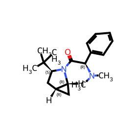 CN(C)[C@@H](C(=O)N1[C@@H]2C[C@@H]2C[C@H]1C(C)(C)C)c1ccccc1